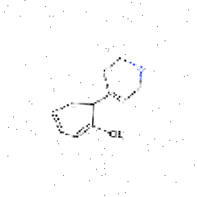 Cc1ccccc1C1=CC[N]CC1